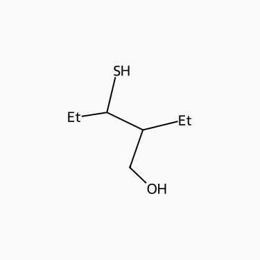 CCC(S)C(CC)CO